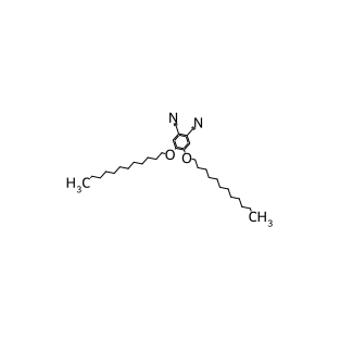 CCCCCCCCCCCCOc1cc(C#N)c(C#N)cc1OCCCCCCCCCCCC